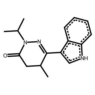 CC1CC(=O)N(C(C)C)N=C1c1c[nH]c2ccccc12